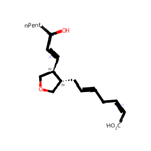 CCCCCC(O)/C=C/[C@@H]1COC[C@H]1CC=CC/C=C\C(=O)O